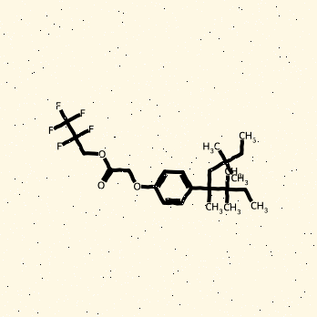 CCC(C)(C)CC(C)(c1ccc(OCC(=O)OCC(F)(F)C(F)(F)F)cc1)C(C)(C)CC